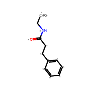 O=[C]CNC(=O)CCc1ccccc1